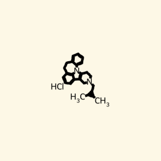 CC1=C(C)C1CN1CCc2c(c3cccc4c3n2-c2ccccc2CC4)C1.Cl